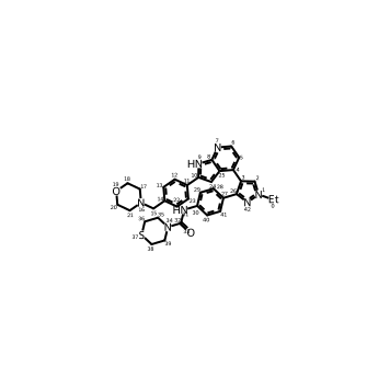 CCn1cc(-c2ccnc3[nH]c(-c4ccc(CN5CCOCC5)cc4)cc23)c(-c2ccc(NC(=O)N3CCSCC3)cc2)n1